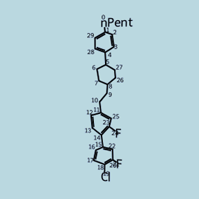 CCCCCc1ccc(C2CCC(CCc3ccc(-c4ccc(Cl)c(F)c4)c(F)c3)CC2)cc1